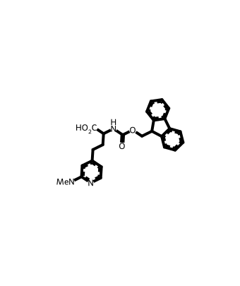 CNc1cc(CCC(NC(=O)OCC2c3ccccc3-c3ccccc32)C(=O)O)ccn1